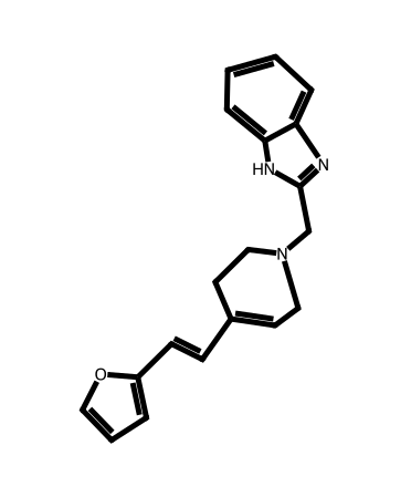 C(=Cc1ccco1)C1=CCN(Cc2nc3ccccc3[nH]2)CC1